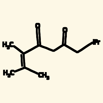 CC(C)=C(C)C(=O)CC(=O)CC(C)C